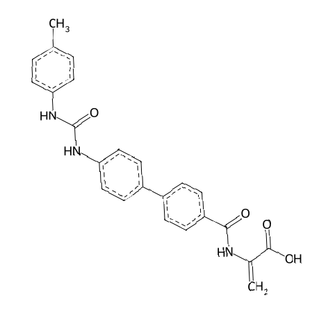 C=C(NC(=O)c1ccc(-c2ccc(NC(=O)Nc3ccc(C)cc3)cc2)cc1)C(=O)O